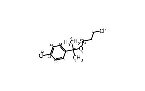 CC(C)(O[SiH2]CCCl)c1ccc(Cl)cc1